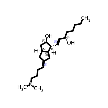 CCCCC[C@H](O)/C=C/[C@@H]1[C@H]2C/C(=C/CCCN(C)C)C[C@H]2C[C@H]1O